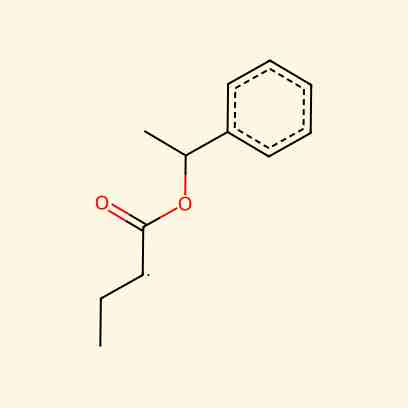 CC[CH]C(=O)OC(C)c1ccccc1